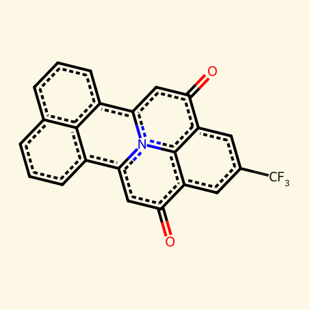 O=c1cc2c3cccc4cccc(c43)c3cc(=O)c4cc(C(F)(F)F)cc1c4n23